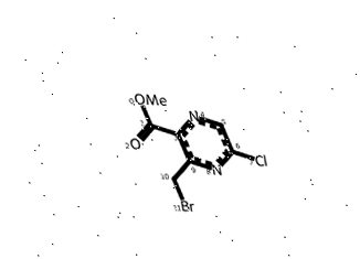 COC(=O)c1ncc(Cl)nc1CBr